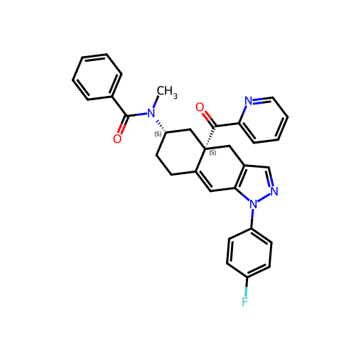 CN(C(=O)c1ccccc1)[C@H]1CCC2=Cc3c(cnn3-c3ccc(F)cc3)C[C@]2(C(=O)c2ccccn2)C1